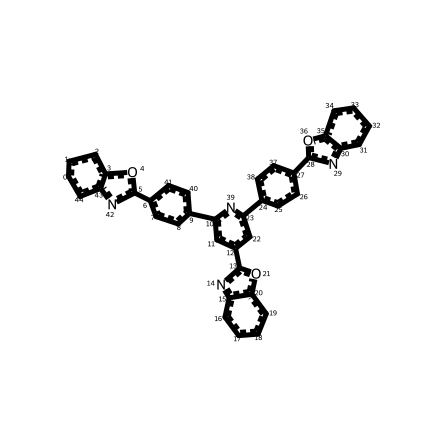 c1ccc2oc(-c3ccc(-c4cc(-c5nc6ccccc6o5)cc(-c5ccc(-c6nc7ccccc7o6)cc5)n4)cc3)nc2c1